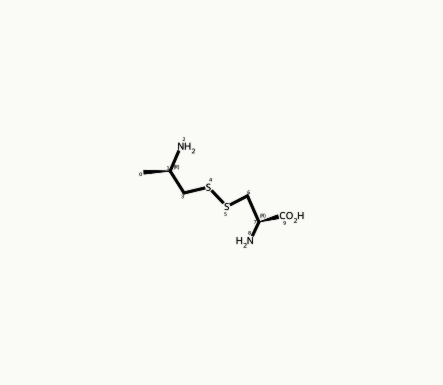 C[C@@H](N)CSSC[C@H](N)C(=O)O